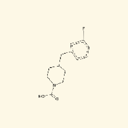 O=C(O)N1CCC(Cc2cccc(F)c2)CC1